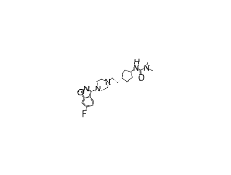 CN(C)C(=O)N[C@H]1CC[C@H](CCN2CCN(c3noc4cc(F)ccc34)CC2)CC1